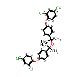 CC(C)(OC(C)(C)c1ccc(Oc2ccc(Cl)cc2Cl)cc1)c1ccc(Oc2ccc(Cl)cc2Cl)cc1